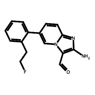 Nc1nc2ccc(-c3ccccc3CCF)cn2c1C=O